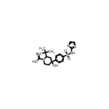 CC(C)(C)C1CC(O)(c2ccc(S(=O)(=O)Nc3nccs3)cc2)CCN1C(=O)O